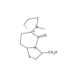 CN1CCC[C@]12CCC1SCC(C(=O)O)N1C2=O